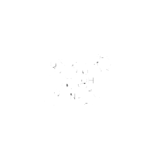 O=C1N(CC2CCCO2)c2ccccc2C1(O)c1cc2cocc2cc1OCc1ccccc1